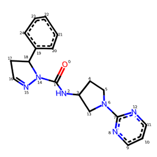 O=C(NC1CCN(c2ncccn2)C1)N1N=CCC1c1ccccc1